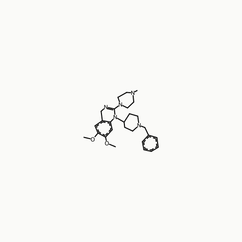 COc1cc2c(cc1OC)N(C1CCN(Cc3ccccc3)CC1)C(N1CCN(C)CC1)=NC2